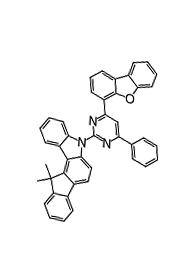 CC1(C)c2ccccc2-c2ccc3c(c21)c1ccccc1n3-c1nc(-c2ccccc2)cc(-c2cccc3c2oc2ccccc23)n1